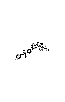 CCN1C(=O)[C@@H](CNc2ccc(NC(=O)CCN3CCN(C)CC3)cc2)SC1[C@H](N)C(=O)NCCOC